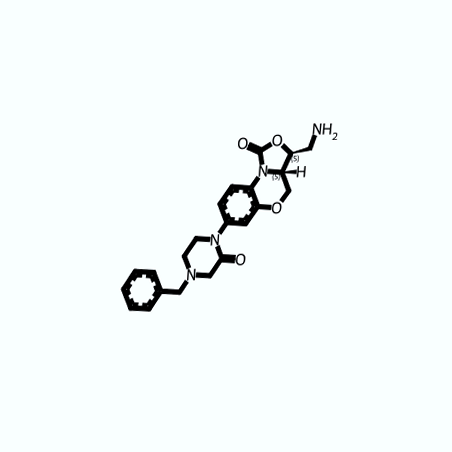 NC[C@@H]1OC(=O)N2c3ccc(N4CCN(Cc5ccccc5)CC4=O)cc3OC[C@@H]12